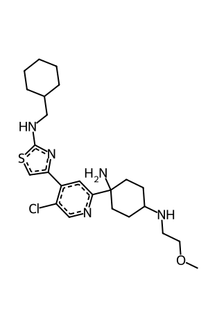 COCCNC1CCC(N)(c2cc(-c3csc(NCC4CCCCC4)n3)c(Cl)cn2)CC1